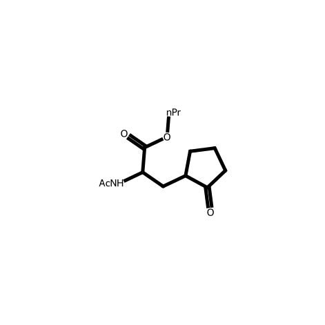 CCCOC(=O)C(CC1CCCC1=O)NC(C)=O